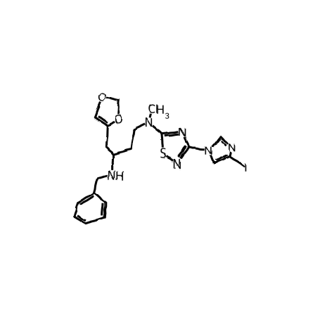 CN(CCC(CC1=COCO1)NCc1ccccc1)c1nc(-n2cnc(I)c2)ns1